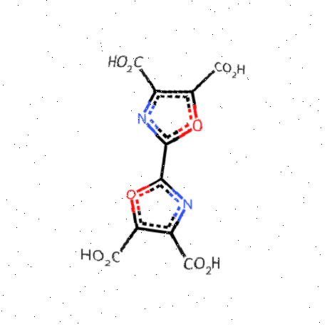 O=C(O)c1nc(-c2nc(C(=O)O)c(C(=O)O)o2)oc1C(=O)O